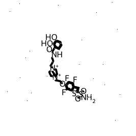 NS(=O)(=O)c1cc2c(F)c(F)c(OCC[N+]34CC[N+](CCCNC(=O)c5cccc(O)c5O)(CC3)CC4)c(F)c2s1